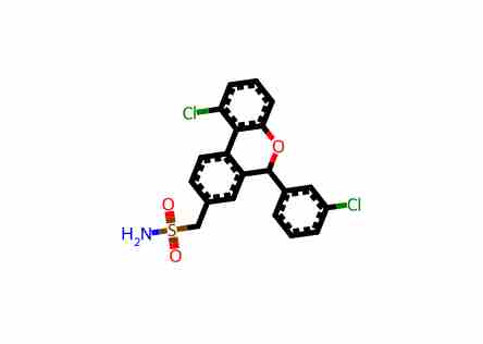 NS(=O)(=O)Cc1ccc2c(c1)C(c1cccc(Cl)c1)Oc1cccc(Cl)c1-2